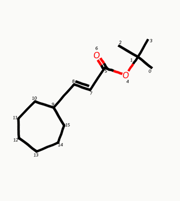 CC(C)(C)OC(=O)/C=C/C1CCCCCC1